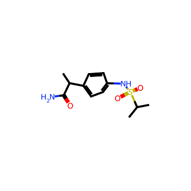 CC(C(N)=O)c1ccc(NS(=O)(=O)C(C)C)cc1